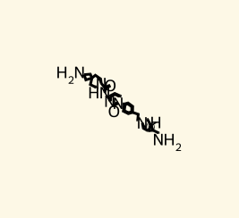 NCC1C2CN(CCc3ccc(-n4ccc(NC(=O)N5CCC6(CC5)CC(N)C6)nc4=O)cc3)C[C@H]12